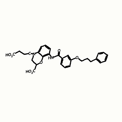 O=C(O)CCCN1CC(C(=O)O)Oc2c(NC(=O)c3cccc(OCCCc4ccccc4)c3)cccc21